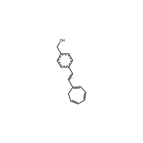 OCc1ccc(/C=C/C2=CC=CC=CC2)cc1